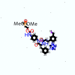 COP(=O)(CCOC(=O)Nc1ccc(NC(=O)[C@H](Cc2ccccc2)NC(=O)/C=C/c2cc(CI)ccc2-n2cnnn2)cc1)OC